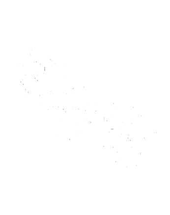 c1ccc(-c2nnc(-c3ccc4c(c3)c3ccccc3n4-c3ccccc3-c3cccc(-n4c5ccccc5c5c4ccc4c6ccccc6n(-c6ccccc6)c45)c3)n2-c2ccccc2)cc1